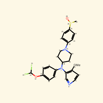 COc1ccncc1N(c1ccc(OC(F)F)cc1)C1CCN(c2ccc([S+](C)[O-])cc2)CC1